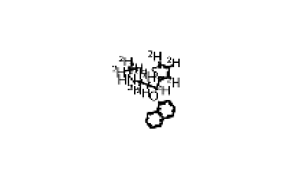 [2H]c1sc([C@@]([2H])(Oc2cccc3ccccc23)C([2H])([2H])C([2H])([2H])NC([2H])([2H])[2H])c([2H])c1[2H]